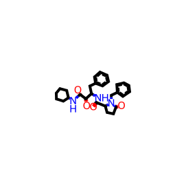 O=C(NC1CCCCC1)C(=O)C(Cc1ccccc1)NC(=O)C1CCC(=O)N1Cc1ccccc1